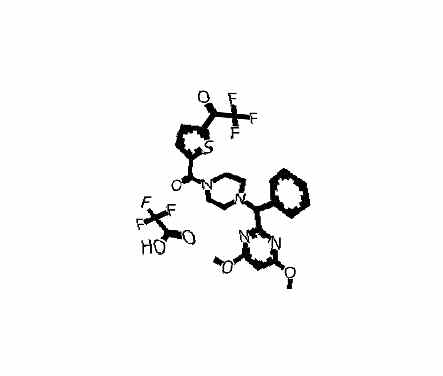 COc1cc(OC)nc(C(c2ccccc2)N2CCN(C(=O)c3ccc(C(=O)C(F)(F)F)s3)CC2)n1.O=C(O)C(F)(F)F